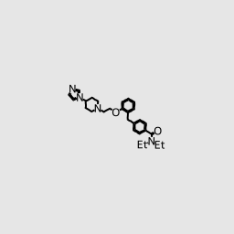 CCN(CC)C(=O)c1ccc(Cc2ccccc2OCCN2CCC(n3ccnc3)CC2)cc1